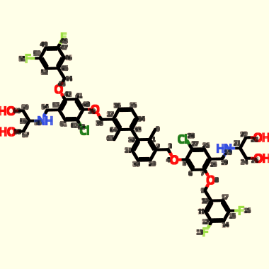 Cc1c(COc2cc(OCc3cc(F)cc(F)c3)c(CNC(CO)CO)cc2Cl)cccc1-c1cccc(COc2cc(OCc3cc(F)cc(F)c3)c(CNC(CO)CO)cc2Cl)c1C